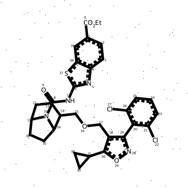 CCOC(=O)c1ccc2nc(NC(=O)N3C4CCC(COCc5c(-c6c(Cl)cccc6Cl)noc5C5CC5)C3CC4)sc2c1